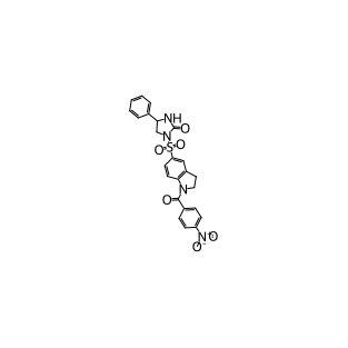 O=C(c1ccc([N+](=O)[O-])cc1)N1CCc2cc(S(=O)(=O)N3CC(c4ccccc4)NC3=O)ccc21